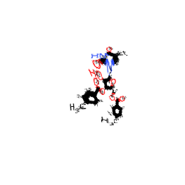 CCc1cn([C@@H]2O[C@H](COC(=O)c3ccc(C)cc3)[C@@H](OC(=O)c3ccc(C)cc3)[C@H]2O)c(=O)[nH]c1=O